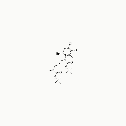 CN(CCCN(C(=O)OC(C)(C)C)c1c(Br)cc(Cl)c(=O)n1C)C(=O)OC(C)(C)C